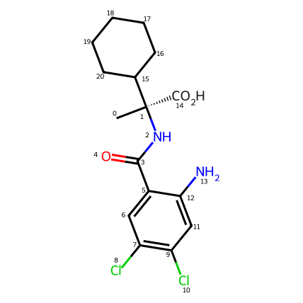 C[C@@](NC(=O)c1cc(Cl)c(Cl)cc1N)(C(=O)O)C1CCCCC1